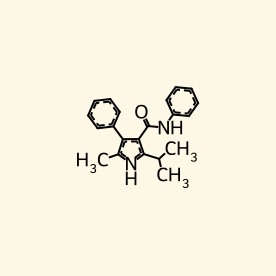 Cc1[nH]c(C(C)C)c(C(=O)Nc2ccccc2)c1-c1ccccc1